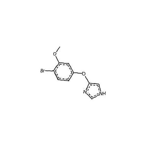 COc1cc(Oc2c[nH]cn2)ccc1Br